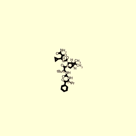 CC(C)[C@H](NC(=O)N[C@H](C(=O)N1C[C@H]2[C@@H]([C@H]1C(=O)NC(C(=O)C(N)=O)C1CC1)C2(C)C)C(C)(C)C)C(=O)c1ccccc1